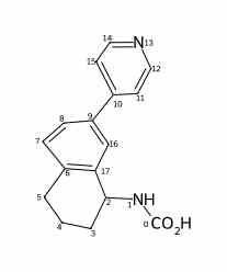 O=C(O)NC1CCCc2ccc(-c3ccncc3)cc21